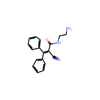 N#CC(C(=O)NCCN)=C(c1ccccc1)c1ccccc1